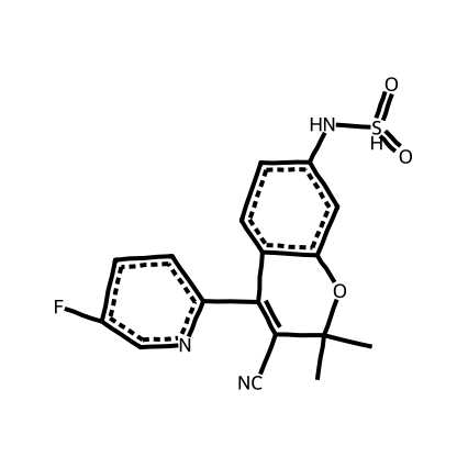 CC1(C)Oc2cc(N[SH](=O)=O)ccc2C(c2ccc(F)cn2)=C1C#N